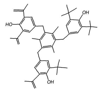 C=C(C)c1cc(Cc2c(C)c(Cc3cc(C(=C)C)c(O)c(C(C)(C)C)c3)c(C)c(Cc3cc(C(C)(C)C)c(O)c(C(C)(C)C)c3)c2C)cc(C(=C)C)c1O